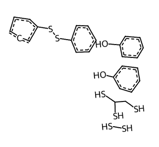 Oc1ccccc1.Oc1ccccc1.SCC(S)S.SS.c1ccc(SSc2ccccc2)cc1